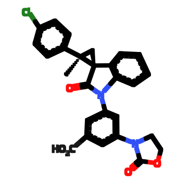 C[C@]1(c2ccc(Cl)cc2)C[C@@]12C(=O)N(c1cc(C(=O)O)cc(N3CCOC3=O)c1)c1ccccc12